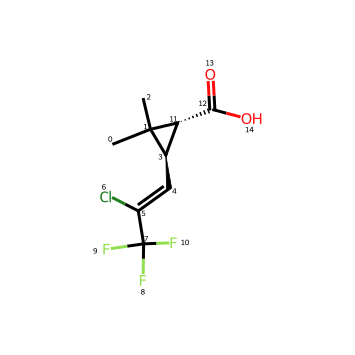 CC1(C)[C@H](C=C(Cl)C(F)(F)F)[C@H]1C(=O)O